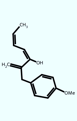 C=C(Cc1ccc(OC)cc1)/C(O)=C\C=C/C